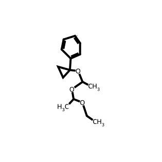 CCOC(C)OC(C)OC1(c2cc[c]cc2)CC1